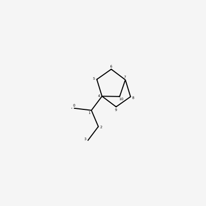 [CH2]C(CC)C12CCC(CC1)C2